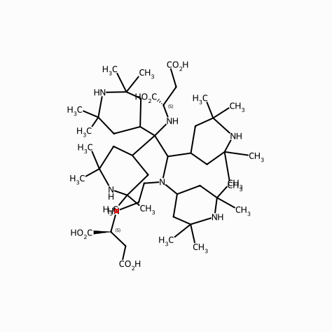 CC1(C)CC(C(N(CCN[C@@H](CC(=O)O)C(=O)O)C2CC(C)(C)NC(C)(C)C2)C(N[C@@H](CC(=O)O)C(=O)O)(C2CC(C)(C)NC(C)(C)C2)C2CC(C)(C)NC(C)(C)C2)CC(C)(C)N1